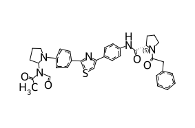 CC(=O)N(C=O)C1CCCN1c1ccc(-c2nc(-c3ccc(NC(=O)[C@@H]4CCCN4C(=O)Cc4ccccc4)cc3)cs2)cc1